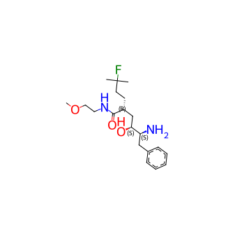 COCCNC(=O)[C@H](CCC(C)(C)F)C[C@H](O)[C@@H](N)Cc1ccccc1